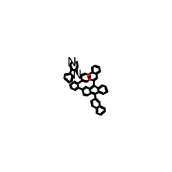 c1ccc(-c2ccccc2-n2c3ccccc3c3cnccc32)c(-c2ccc3c(-c4ccc5ccccc5c4)c4ccccc4c(-c4ccc5ccccc5c4)c3c2)c1